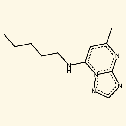 CCCCCNc1cc(C)nc2ncnn12